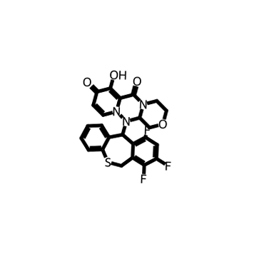 O=C1c2c(O)c(=O)ccn2N(C2c3ccccc3SCc3c(F)c(F)cc(F)c32)C2COCCN12